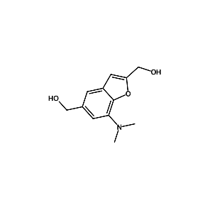 CN(C)c1cc(CO)cc2cc(CO)oc12